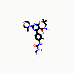 CCN1CC(C)(C)Oc2nc(N3CCOCC3C)nc(-c3ccc(NC(=O)NCC(F)(F)F)c(F)c3)c2C1=O